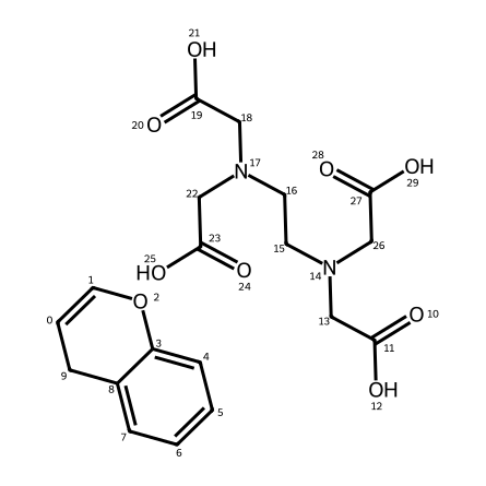 C1=COc2ccccc2C1.O=C(O)CN(CCN(CC(=O)O)CC(=O)O)CC(=O)O